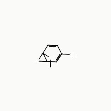 COC12C=CC(N)=CC1S2